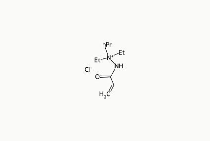 C=CC(=O)N[N+](CC)(CC)CCC.[Cl-]